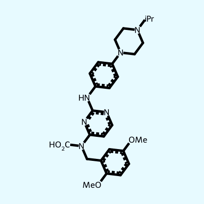 COc1ccc(OC)c(CN(C(=O)O)c2ccnc(Nc3ccc(N4CCN(C(C)C)CC4)cc3)n2)c1